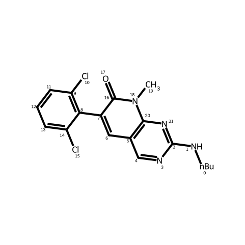 CCCCNc1ncc2cc(-c3c(Cl)cccc3Cl)c(=O)n(C)c2n1